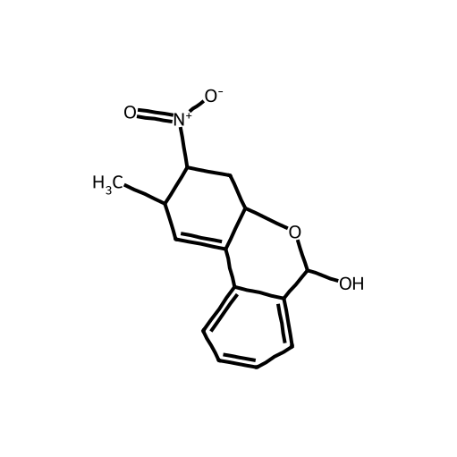 CC1C=C2c3ccccc3C(O)OC2CC1[N+](=O)[O-]